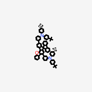 CC(C)(C)c1ccc(N(c2ccc([Si](C)(C)C)cc2)c2cccc(-c3ccc4c(c3)C3(c5ccccc5-c5ccccc53)c3cc(-c5cccc(N(c6ccc(C(C)(C)C)cc6)c6ccc([Si](C)(C)C)cc6)c5)c5c(oc6ccccc65)c3-4)c2)cc1